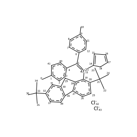 Cc1ccc([C](c2ccc(C)cc2)=[Zr+2]([C]2=CC=CC2)[c]2c(C(C)(C)C)ccc3c2Cc2cc(C(C)(C)C)ccc2-3)cc1.[Cl-].[Cl-]